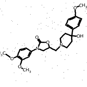 COc1ccc(C2(O)CCN(CC3CN(c4ccc(OC)c(OC)c4)C(=O)O3)CC2)cc1